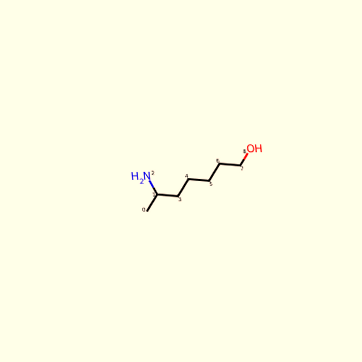 CC(N)CCCCCO